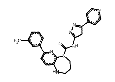 O=C(NC1=NN=C(c2ccncc2)C1)N1CCCNc2ccc(-c3cccc(C(F)(F)F)c3)nc21